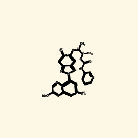 COc1cnc2c(-n3nc4cc(F)c(O[C@@H](C)[C@H](C)OC(=O)Nc5cccnc5)cc4n3)cc(C)cc2n1